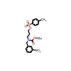 Cc1ccc(S(=O)(=O)OCCCN(Cc2cccc([N+](=O)[O-])c2)C(=O)OC(C)(C)C)cc1